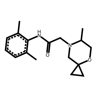 Cc1cccc(C)c1NC(=O)CN1CC2(CC2)OCC1C